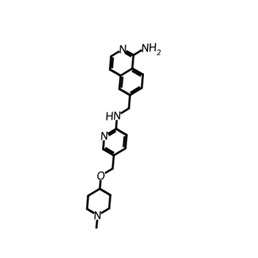 CN1CCC(OCc2ccc(NCc3ccc4c(N)nccc4c3)nc2)CC1